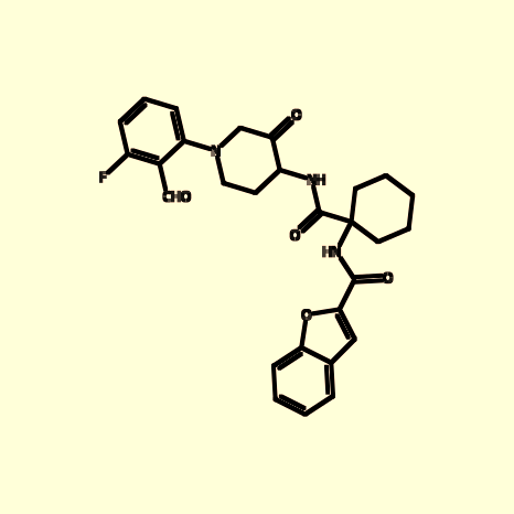 O=Cc1c(F)cccc1N1CCC(NC(=O)C2(NC(=O)c3cc4ccccc4o3)CCCCC2)C(=O)C1